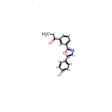 CCC(=O)c1cccc(-c2ncc(-c3ccc(F)cc3)o2)c1